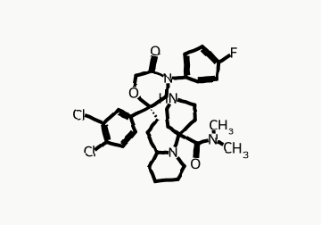 CN(C)C(=O)C1(N2CCCCC2CC[C@@]2(c3ccc(Cl)c(Cl)c3)CN(c3ccc(F)cc3)C(=O)CO2)CCNCC1